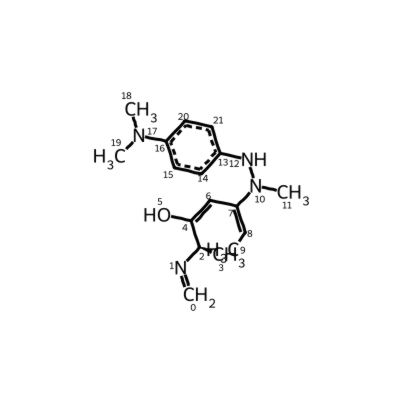 C=N[C@H](C)/C(O)=C\C(=C/C)N(C)Nc1ccc(N(C)C)cc1